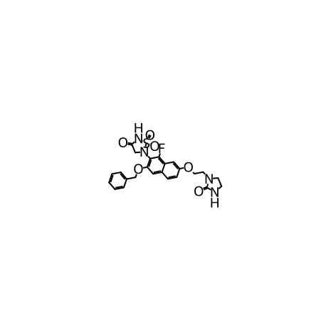 O=C1CN(c2c(OCc3ccccc3)cc3ccc(OCCN4CCNC4=O)cc3c2F)S(=O)(=O)N1